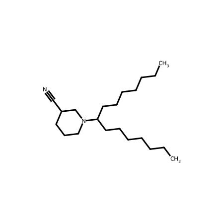 CCCCCCCC(CCCCCCC)N1CCCC(C#N)C1